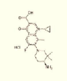 Cc1c(N2CC[C@H](N)C(C)(C)C2)c(F)cc2c(=O)c(C(=O)O)cn(C3CC3)c12.Cl